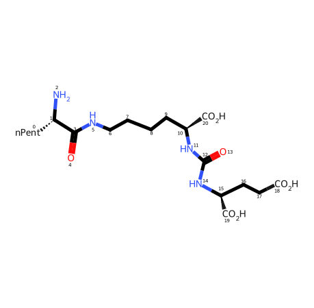 CCCCC[C@H](N)C(=O)NCCCC[C@H](NC(=O)N[C@@H](CCC(=O)O)C(=O)O)C(=O)O